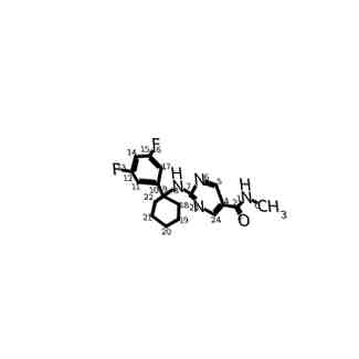 CNC(=O)c1cnc(NC2(c3cc(F)cc(F)c3)CCCCC2)nc1